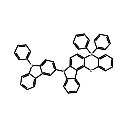 c1ccc(-n2c3ccccc3c3cc(-n4c5ccccc5c5c6c(ccc54)[Si](c4ccccc4)(c4ccccc4)c4ccccc4O6)ccc32)cc1